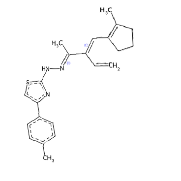 C=CC(=C\C1=C(C)CCC1)/C(C)=N/Nc1nc(-c2ccc(C)cc2)cs1